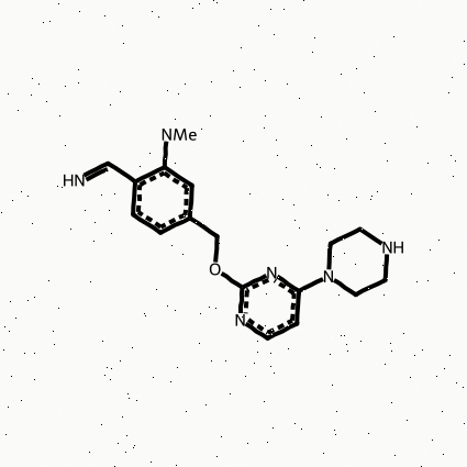 CNc1cc(COc2nccc(N3CCNCC3)n2)ccc1C=N